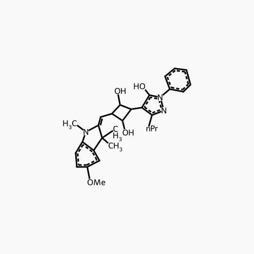 CCCc1nn(-c2ccccc2)c(O)c1C1C(O)C(C=C2N(C)c3ccc(OC)cc3C2(C)C)C1O